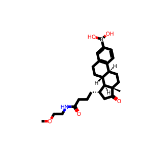 COCCNC(=O)CCC[C@H]1CC(=O)[C@@]2(C)CC[C@@H]3c4ccc(B(O)O)cc4CC[C@H]3[C@H]12